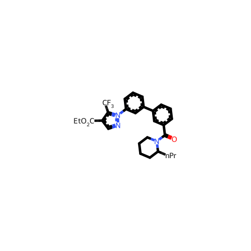 CCCC1CCCCN1C(=O)c1cccc(-c2cccc(-n3ncc(C(=O)OCC)c3C(F)(F)F)c2)c1